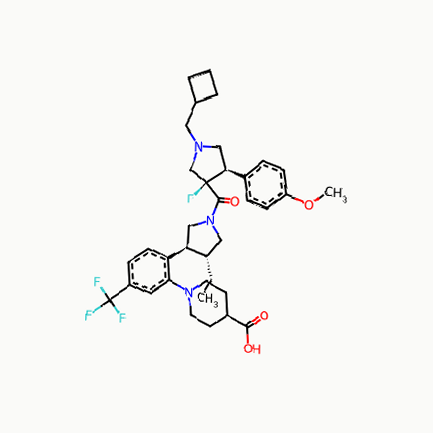 CC[C@H]1CN(C(=O)[C@]2(F)CN(CC3CCC3)C[C@H]2c2ccc(OC)cc2)C[C@@H]1c1ccc(C(F)(F)F)cc1N1CCC(C(=O)O)CC1